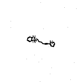 C(#Cc1ccccn1)CCCCn1nc2ccccc2n1